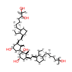 C=C1/C(=C\C=C2\CCC[C@@]3(C)C2CC[C@@H]3[C@H](C)CCC(O)C(C)(C)O)C[C@@H](O)CC1C1(O)C[C@H](O)C/C(=C/C=C2\CCC[C@@]3(C)C2CC[C@@H]3[C@H](C)CCCC(C)(C)O)C1=C